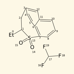 CCC1Cc2ccc3c(cccc3c2)S1(=O)=O.FC(F)F